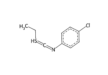 CC[SH]=C=Nc1ccc(Cl)cc1